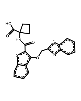 O=C(NC1(C(=O)O)CCC1)c1sc2ccccc2c1OCc1nc2ccccc2s1